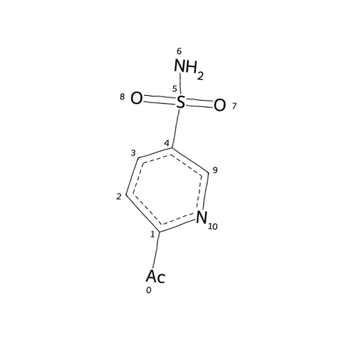 CC(=O)c1ccc(S(N)(=O)=O)cn1